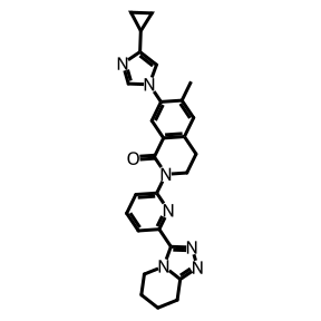 Cc1cc2c(cc1-n1cnc(C3CC3)c1)C(=O)N(c1cccc(-c3nnc4n3CCCC4)n1)CC2